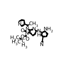 C[C@H](c1cccnc1)n1c(=O)n(C(=O)OC(C)(C)C)c2ccc(Nc3cc(C#N)ccc3N)nc21